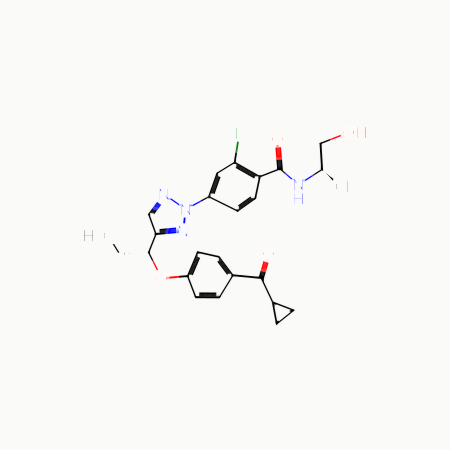 CC[C@@H](Oc1ccc(C(=O)C2CC2)cc1)c1cnn(-c2ccc(C(=O)N[C@H](C)CO)c(F)c2)n1